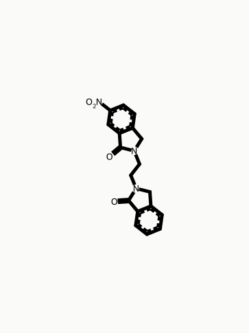 O=C1c2ccccc2CN1CCN1Cc2ccc([N+](=O)[O-])cc2C1=O